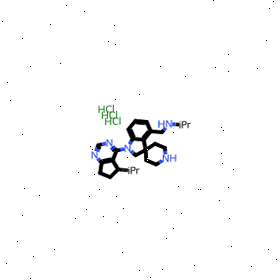 CC(C)NCc1cccc2c1C1(CCNCC1)CN2c1ncnc2c1C(C(C)C)CC2.Cl.Cl.Cl